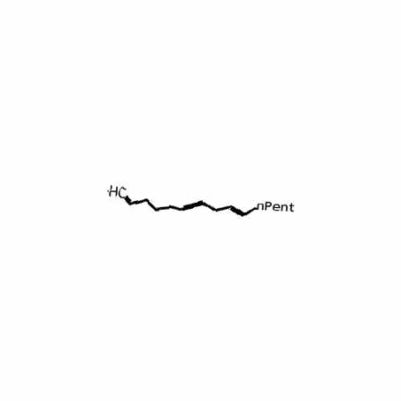 [CH]=CCCCC=CCC=CCCCCC